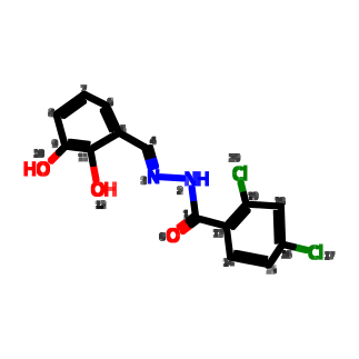 O=C(NN=Cc1cccc(O)c1O)c1ccc(Cl)cc1Cl